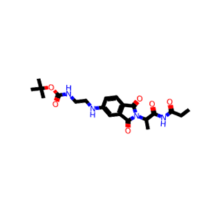 CCC(=O)NC(=O)C(C)N1C(=O)c2ccc(NCCNC(=O)OC(C)(C)C)cc2C1=O